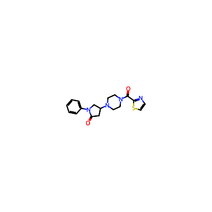 O=C(c1nccs1)N1CCN(C2CC(=O)N(c3ccccc3)C2)CC1